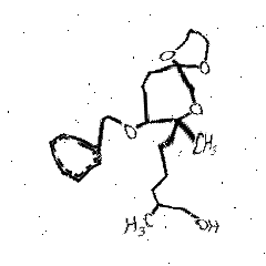 CC(CO)CCCC1(C)OCC2(CCC1OCc1ccccc1)OCCO2